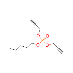 C#CCOP(=O)(OCC#C)OCCCCC